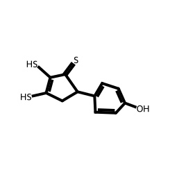 Oc1ccc(C2CC(S)=C(S)C2=S)cc1